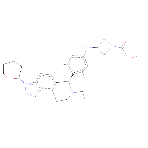 C[C@@H]1Cc2c(ccc3c2cnn3[C@@H]2CCCCO2)[C@@H](c2c(F)cc(NC3CN(C(=O)OC(C)(C)C)C3)cc2F)N1CC(F)(F)F